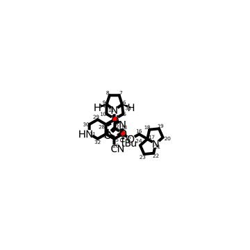 CC(C)(C)OC(=O)N1C[C@H]2CC[C@@H](C1)N2c1nc(OCC23CCCN2CCC3)c(C#N)c2c1CCNC2